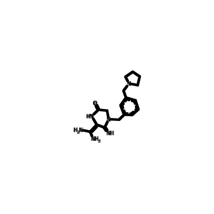 N=C1C(=C(N)N)NC(=O)CN1Cc1cccc(CN2CCCC2)c1